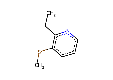 CCc1ncccc1SC